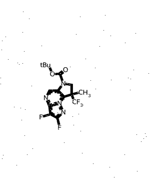 CC(C)(C)OC(=O)N1CC(C)(C(F)(F)F)c2c1cnc1c(F)c(F)nn21